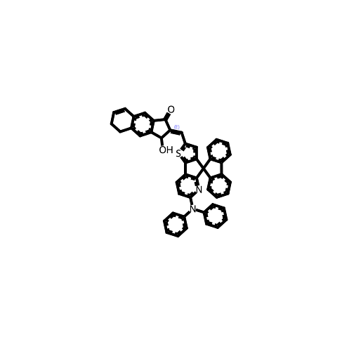 O=C1/C(=C/c2cc3c(s2)-c2ccc(N(c4ccccc4)c4ccccc4)nc2C32c3ccccc3-c3ccccc32)C(O)c2cc3c(cc21)C=CCC3